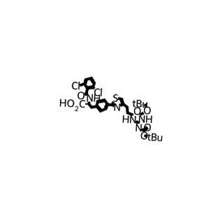 CC(C)(C)OC(=O)/N=C(/NCCCc1csc(-c2ccc(C[C@H](NC(=O)c3c(Cl)cccc3Cl)C(=O)O)cc2)n1)NC(=O)OC(C)(C)C